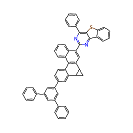 c1ccc(-c2cc(-c3ccccc3)cc(-c3ccc4c(c3)C3CC3c3cc(-c5nc(-c6ccccc6)c6sc7ccccc7c6n5)c5ccccc5c3-4)c2)cc1